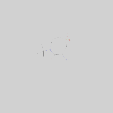 CNC1CS(=O)(=O)CCN(C(C)(C)C)C1=O